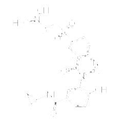 Cc1ccc(C(=O)NC2CC2)cc1-n1cnc2ccc(S(=O)(=O)CCN(C)C)cc2c1=O